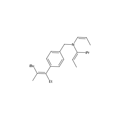 CC=C(C(C)C)N(/C=C\C)Cc1ccc(/C(CC)=C(/C)C(C)CC)cc1